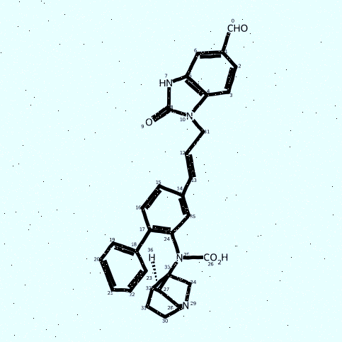 O=Cc1ccc2c(c1)[nH]c(=O)n2C/C=C/c1ccc(-c2ccccc2)c(N(C(=O)O)[C@H]2CN3CCC2CC3)c1